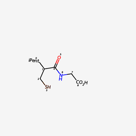 CCCC(C)C(CS)C(=O)NCC(=O)O